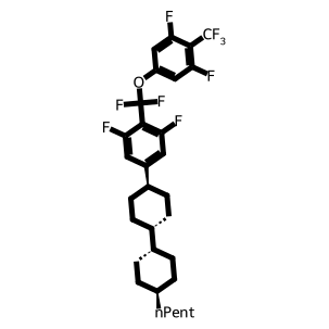 CCCCC[C@H]1CC[C@H]([C@H]2CC[C@H](c3cc(F)c(C(F)(F)Oc4cc(F)c(C(F)(F)F)c(F)c4)c(F)c3)CC2)CC1